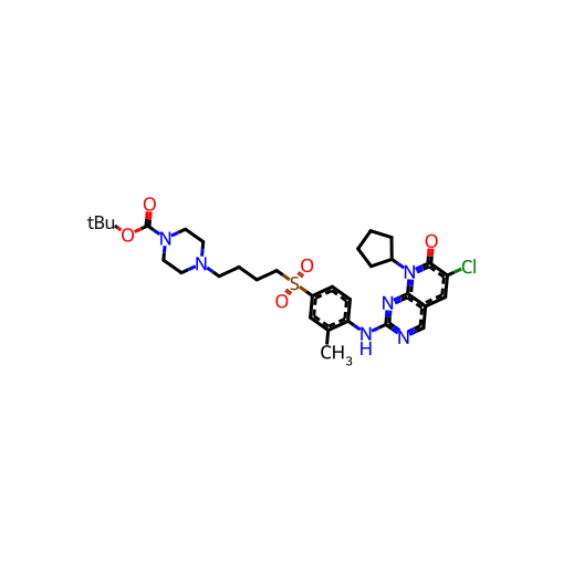 Cc1cc(S(=O)(=O)CCCCN2CCN(C(=O)OC(C)(C)C)CC2)ccc1Nc1ncc2cc(Cl)c(=O)n(C3CCCC3)c2n1